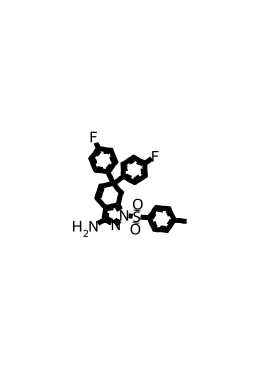 Cc1ccc(S(=O)(=O)n2nc(N)c3c2CC(c2ccc(F)cc2)(c2ccc(F)cc2)C=C3)cc1